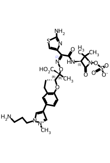 C[n+]1cc(-c2ccc3c(c2)CC[C@H]([C@@](C)(O/N=C(\C(=O)N[C@@H]2C(=O)N(OS(=O)(=O)[O-])C2(C)C)c2csc(N)n2)C(=O)O)O3)cn1CCCN